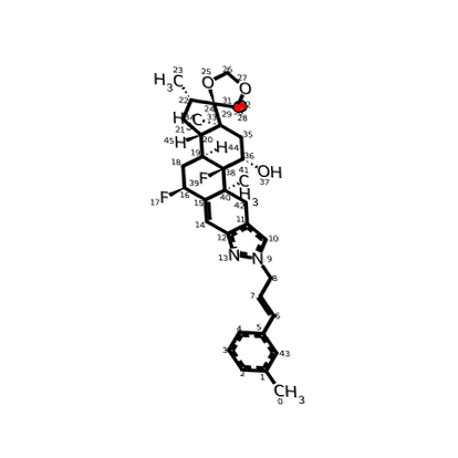 Cc1cccc(/C=C/Cn2cc3c(n2)C=C2[C@@H](F)C[C@H]4[C@@H]5C[C@H](C)[C@@]6(OCOC67COCO7)[C@@]5(C)C[C@H](O)[C@]4(F)[C@@]2(C)C3)c1